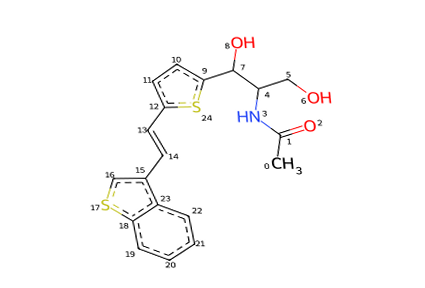 CC(=O)NC(CO)C(O)c1ccc(C=Cc2csc3ccccc23)s1